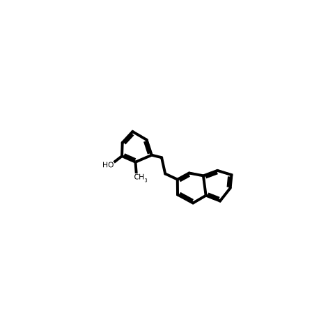 Cc1c(O)cccc1CCc1ccc2ccccc2c1